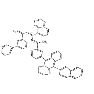 C=C(/C=C(\N=C(/C)c1cccc(-c2c3ccccc3c(-c3ccc4ccccc4c3)c3ccccc23)c1)c1cccc2ccccc12)c1cccc(-c2cccnc2)c1